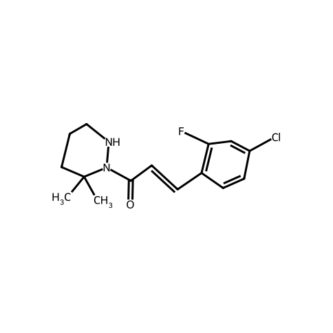 CC1(C)CCCNN1C(=O)/C=C/c1ccc(Cl)cc1F